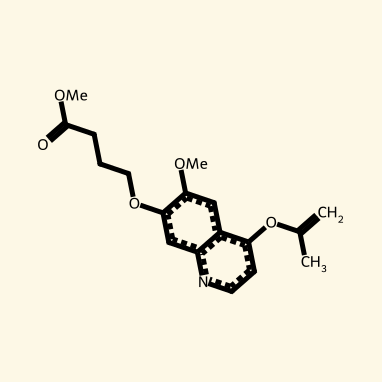 C=C(C)Oc1ccnc2cc(OCCCC(=O)OC)c(OC)cc12